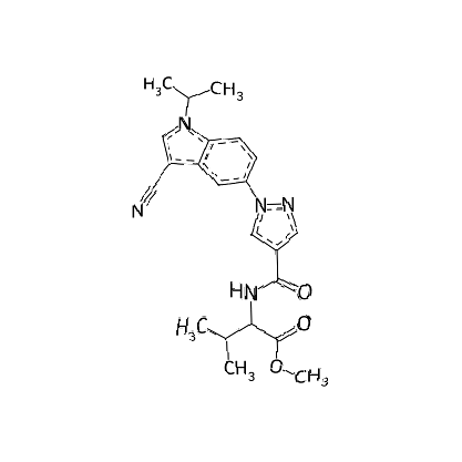 COC(=O)C(NC(=O)c1cnn(-c2ccc3c(c2)c(C#N)cn3C(C)C)c1)C(C)C